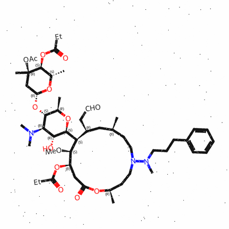 CCC(=O)O[C@@H]1CC(=O)O[C@H](C)CCN(N(C)CCCc2ccccc2)CC[C@H](C)C[C@H](CC=O)[C@H]([C@@H]2O[C@H](C)[C@@H](O[C@@H]3C[C@@](C)(OC(C)=O)[C@@H](OC(=O)CC)[C@H](C)O3)[C@H](N(C)C)[C@H]2O)[C@@H]1OC